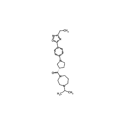 CCc1noc(-c2ccc(N3CC[C@H](C(=O)N4CCCN(C(C)C)CC4)C3)cc2)n1